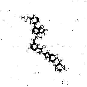 Nc1nccc(-c2cnc(NCc3cccc(C(=O)NC4CC5(CCN(Cc6cncnc6)CC5)C4)c3)c3c2OCC3)n1